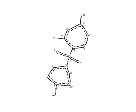 Cc1ccc(S(=O)(=O)c2ccc(C)cc2C)cc1